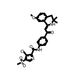 COc1ccc2c(c1)C(=CC(=O)c1ccc(NC(=O)c3scc(S(C)(=O)=O)c3Cl)cc1)NC(C)(C)C2